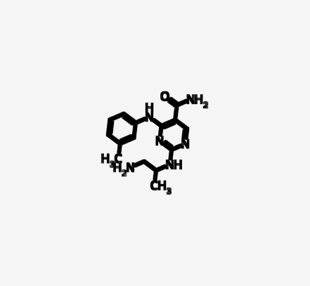 Cc1cccc(Nc2nc(NC(C)CN)ncc2C(N)=O)c1